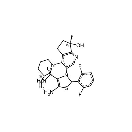 C[C@]1(O)CCc2c1ncc(N1C(C(N)=O)=C(N)SC1c1c(F)cccc1F)c2N1CCC[C@H](N)C1